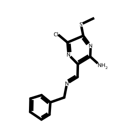 CSc1nc(N)c(C=NCc2ccccc2)nc1Cl